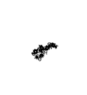 COc1ccc(Cn2nc(N[C@@H]3CCN(C(=O)OC(C)(C)C)C3)c3c(Oc4ccc(C(=O)Nc5cc(C(C)C)ccn5)cc4)ccnc32)cc1